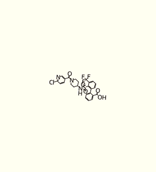 O=C(O)c1ccccc1-c1cccc(C(F)(F)F)c1S(=O)(=O)NC1CCN(C(=O)c2ccc(Cl)nc2)CC1